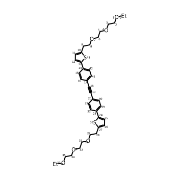 CCOCCOCCOCCc1ccc(-c2ccc(C#Cc3ccc(-c4ccc(CCOCCOCCOCC)s4)cc3)cc2)s1